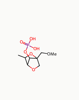 COCC12COC(C(C)O1)C2OP(=O)(O)O